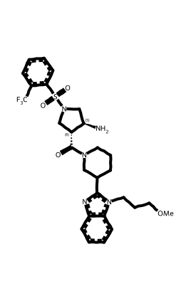 COCCCn1c(C2CCCN(C(=O)[C@@H]3CN(S(=O)(=O)c4ccccc4C(F)(F)F)C[C@H]3N)C2)nc2ccccc21